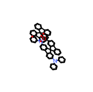 O=C(c1ccc2c(c1)C1(c3ccccc3-2)c2cc(N(c3ccccc3)c3ccccc3)ccc2-c2ccc(N(c3ccccc3)c3ccccc3)cc21)c1cccc2c1C1(c3ccccc3-c3ccccc31)c1ccccc1-2